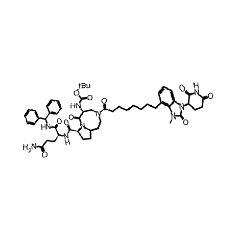 Cn1c(=O)n(C2CCC(=O)NC2=O)c2cccc(CCCCCCCC(=O)N3CCC4CC[C@@H](C(=O)N[C@@H](CCC(N)=O)C(=O)NC(c5ccccc5)c5ccccc5)N4C(=O)[C@@H](NC(=O)OC(C)(C)C)C3)c21